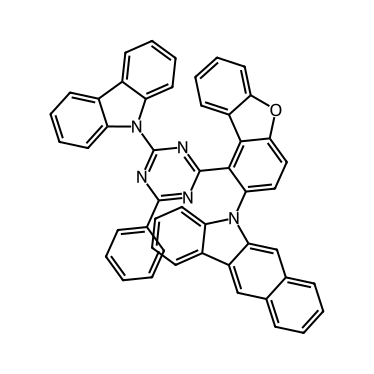 c1ccc(-c2nc(-c3c(-n4c5ccccc5c5cc6ccccc6cc54)ccc4oc5ccccc5c34)nc(-n3c4ccccc4c4ccccc43)n2)cc1